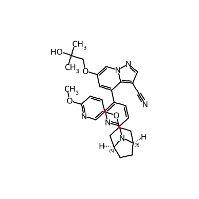 COc1ccc(OC2C[C@H]3CC[C@@H](C2)N3c2ccc(-c3cc(OCC(C)(C)O)cn4ncc(C#N)c34)cn2)cn1